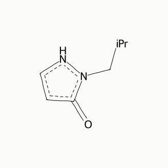 CC(C)Cn1[nH]ccc1=O